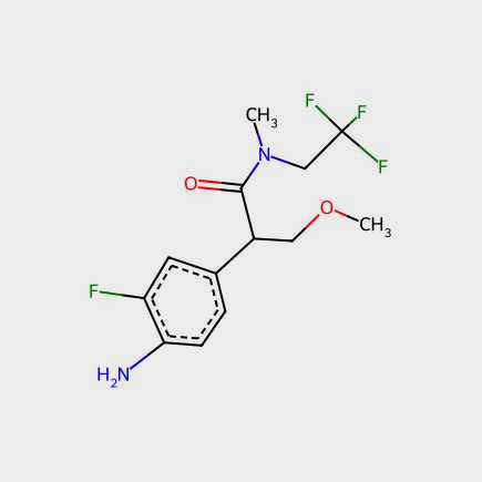 COCC(C(=O)N(C)CC(F)(F)F)c1ccc(N)c(F)c1